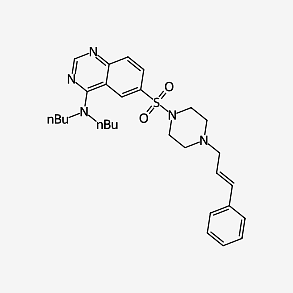 CCCCN(CCCC)c1ncnc2ccc(S(=O)(=O)N3CCN(CC=Cc4ccccc4)CC3)cc12